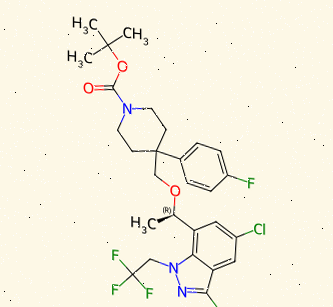 C[C@@H](OCC1(c2ccc(F)cc2)CCN(C(=O)OC(C)(C)C)CC1)c1cc(Cl)cc2c(Cl)nn(CC(F)(F)F)c12